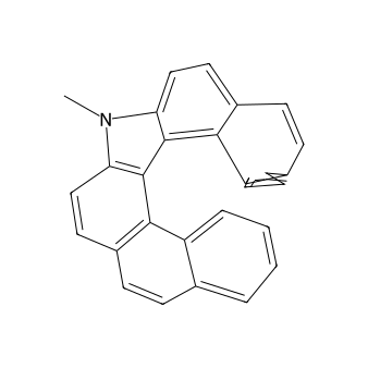 Cn1c2ccc3ccc4ccccc4c3c2c2c3c(ccc4ccccc43)ccc21